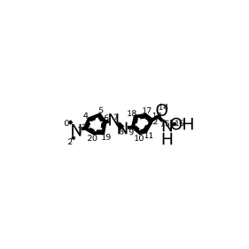 CN(C)c1ccc(/N=N/c2ccc(C(=O)NO)cc2)cc1